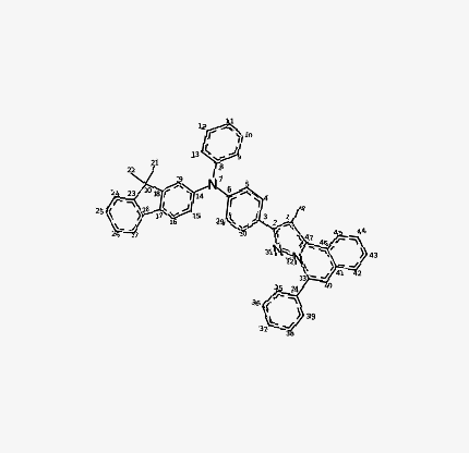 Cc1c(-c2ccc(N(c3ccccc3)c3ccc4c(c3)C(C)(C)c3ccccc3-4)cc2)nn2c(-c3ccccc3)cc3ccccc3c12